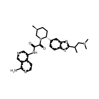 CC(CN(C)C)c1nc2cc([C@H]3CC[C@H](C)CN3C(=O)C(=O)Nc3cncc4c(N)nccc34)ccc2s1